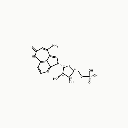 NC1=CC(=O)Nc2ncnc3c2c1cn3[C@@H]1O[C@H](COP(=O)(O)O)[C@@H](O)[C@H]1O